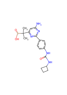 CC(C)(c1cc(N)nc(-c2ccc(NC(=O)NC3CCC3)cc2)n1)S(=O)O